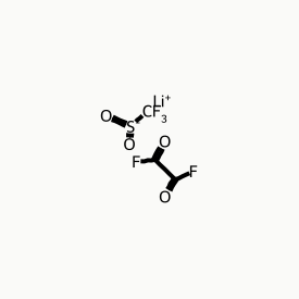 O=C(F)C(=O)F.O=[S-](=O)C(F)(F)F.[Li+]